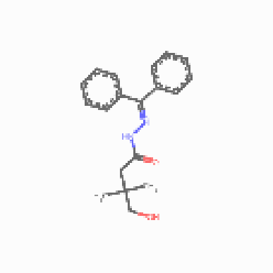 CC(C)(CO)CC(=O)NN=C(c1ccccc1)c1ccccc1